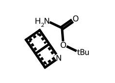 CC(C)(C)OC(N)=O.c1cc2ncc1-2